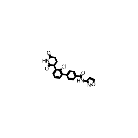 O=C1CCC(c2cccc(-c3ccc(C(=O)Nc4ccon4)cc3)c2Cl)C(=O)N1